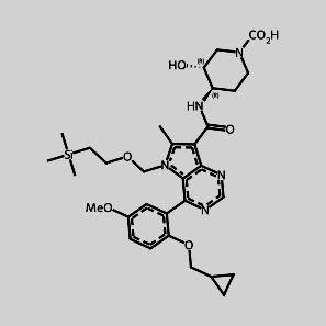 COc1ccc(OCC2CC2)c(-c2ncnc3c(C(=O)N[C@@H]4CCN(C(=O)O)C[C@H]4O)c(C)n(COCC[Si](C)(C)C)c23)c1